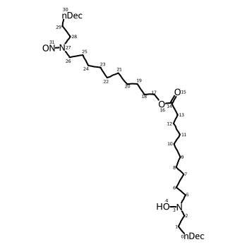 CCCCCCCCCCCCN(O)CCCCCCCCCC(=O)OCCCCCCCCCCN(CCCCCCCCCCCC)N=O